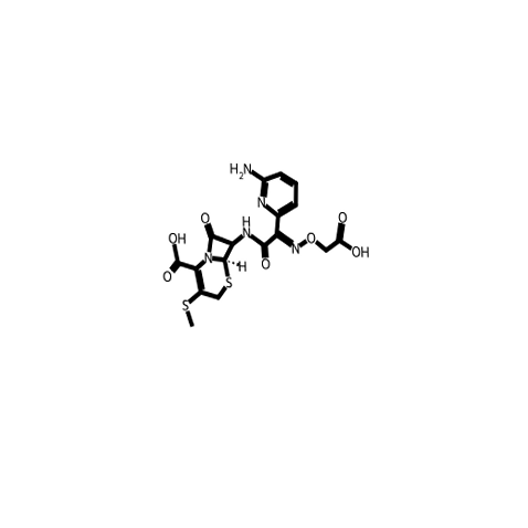 CSC1=C(C(=O)O)N2C(=O)C(NC(=O)/C(=N/OCC(=O)O)c3cccc(N)n3)[C@H]2SC1